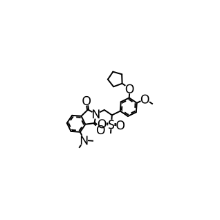 COc1ccc(C(CN2C(=O)c3cccc(N(C)C)c3C2=O)S(C)(=O)=O)cc1OC1CCCC1